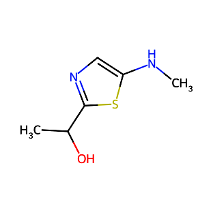 CNc1cnc(C(C)O)s1